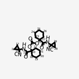 N#CC1(NC(=O)C2(OC(=O)OC3(C(=O)NC4(C#N)CC4)CCCCC3)CCCCC2)CC1